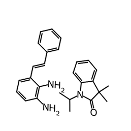 CC(C)N1C(=O)C(C)(C)c2ccccc21.Nc1cccc(C=Cc2ccccc2)c1N